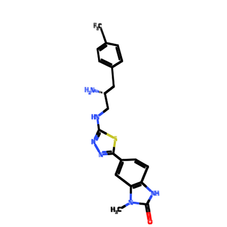 Cn1c(=O)[nH]c2ccc(-c3nnc(NC[C@H](N)Cc4ccc(C(F)(F)F)cc4)s3)cc21